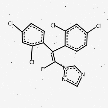 FC(=C(c1ccc(Cl)cc1Cl)c1ccc(Cl)cc1Cl)n1cncn1